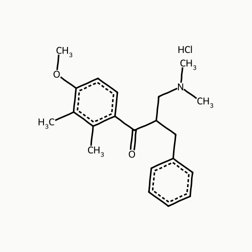 COc1ccc(C(=O)C(Cc2ccccc2)CN(C)C)c(C)c1C.Cl